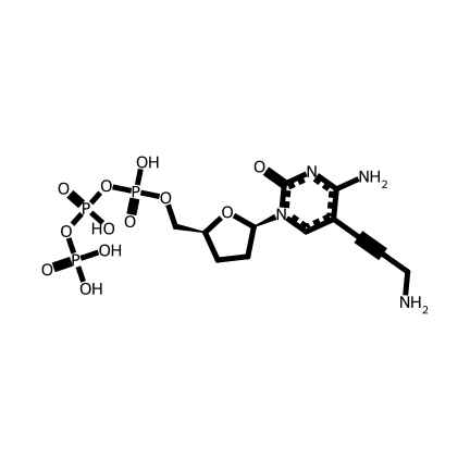 NCC#Cc1cn([C@H]2CC[C@@H](COP(=O)(O)OP(=O)(O)OP(=O)(O)O)O2)c(=O)nc1N